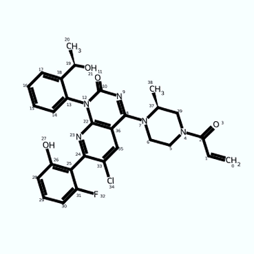 C=CC(=O)N1CCN(c2nc(=O)n(-c3ccccc3[C@@H](C)O)c3nc(-c4c(O)cccc4F)c(Cl)cc23)[C@@H](C)C1